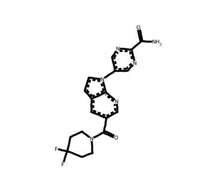 NC(=O)c1ncc(-n2ccc3cc(C(=O)N4CCC(F)(F)CC4)cnc32)cn1